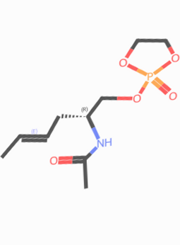 C/C=C/C[C@H](COP1(=O)OCCO1)NC(C)=O